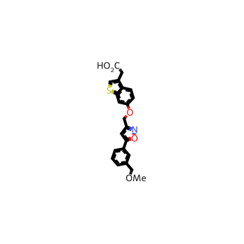 COCc1cccc(-c2cc(COc3ccc4c(CC(=O)O)csc4c3)no2)c1